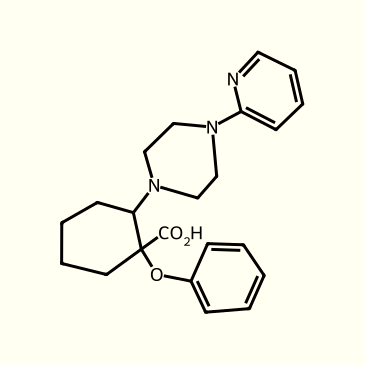 O=C(O)C1(Oc2ccccc2)CCCCC1N1CCN(c2ccccn2)CC1